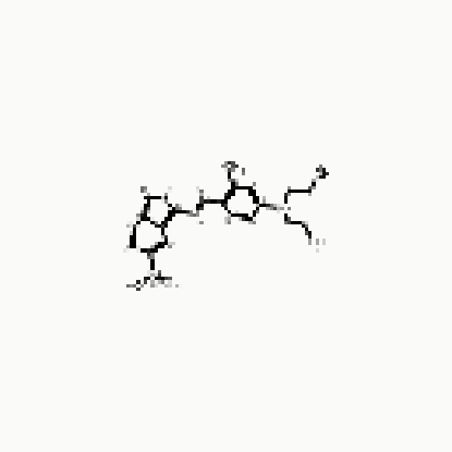 Cc1cc(N(CCO)CCO)ccc1N=Nc1snc2ccc([N+](=O)[O-])cc12